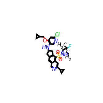 CC(C)(F)CNS(=O)(=O)c1c2c(cc3cnc(C4CC4)cc13)C[C@@H](Nc1cnc(Cl)cc1OCC1CC1)C2